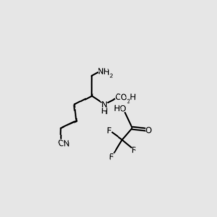 N#CCCCC(CN)NC(=O)O.O=C(O)C(F)(F)F